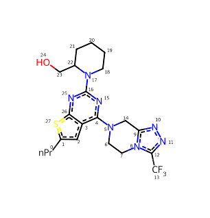 CCCc1cc2c(N3CCn4c(nnc4C(F)(F)F)C3)nc(N3CCCCC3CO)nc2s1